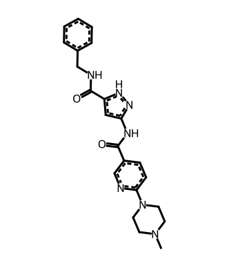 CN1CCN(c2ccc(C(=O)Nc3cc(C(=O)NCc4ccccc4)[nH]n3)cn2)CC1